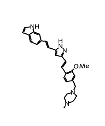 COc1cc(CN2CCN(C)CC2)ccc1C=Cc1cc(C=Cc2ccc3cc[nH]c3c2)[nH]n1